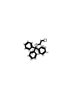 ClCCSC(c1ccccc1)(c1ccccc1)c1ccccc1